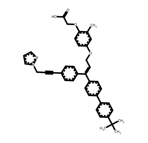 Cc1cc(OC/C=C(\c2ccc(C#CCn3cccn3)cc2)c2ccc(-c3ccc(C(C)(C)C)cc3)cc2)ccc1OCC(=O)O